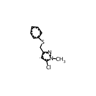 Cn1nc(CSc2ccccc2)[c]c1Cl